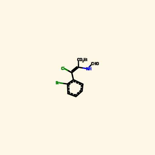 CCOC(=O)C(NC=O)=C(Cl)c1ccccc1Br